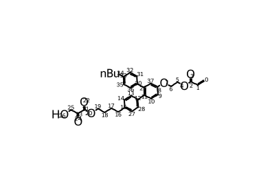 C=CC(=O)OCCOc1ccc(-c2ccc(CCCCOC(=O)C(=O)CO)cc2)c(-c2ccc(CCCC)cc2)c1